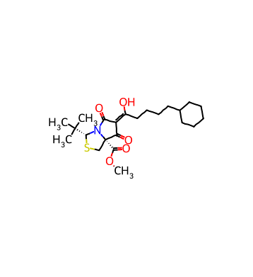 COC(=O)[C@]12CS[C@H](C(C)(C)C)N1C(=O)/C(=C(\O)CCCCC1CCCCC1)C2=O